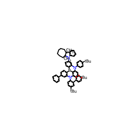 CC(C)(C)c1ccc(N2c3cc(N4c5ccccc5C5(C)CCCCCCC45C)ccc3B3c4ccc(-c5ccccc5)cc4N(c4ccc(C(C)(C)C)cc4-c4ccccc4)c4cc(C(C)(C)C)cc2c43)cc1